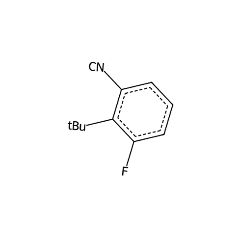 [C-]#[N+]c1cccc(F)c1C(C)(C)C